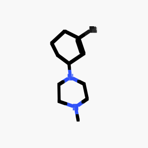 [CH2]CC1=CC(N2CCN(C)CC2)CCC1